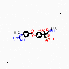 CNC(=O)CC(CS(=O)(=O)O)(C(=O)O)c1ccc(OC(=O)c2ccc(N(C)C(=N)N)cc2)cc1